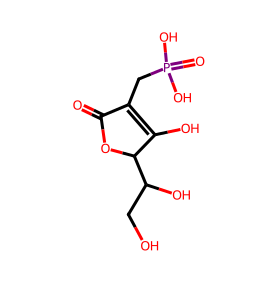 O=C1OC(C(O)CO)C(O)=C1CP(=O)(O)O